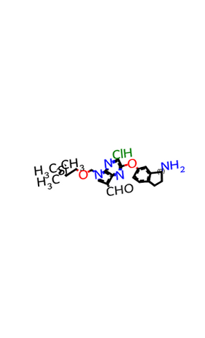 C[Si](C)(C)CCOCn1cc(C=O)c2nc(Oc3ccc4c(c3)[C@H](N)CC4)cnc21.Cl